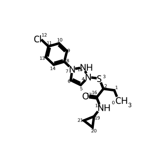 CCC(SN1C=CN(c2ccc(Cl)cc2)N1)C(=O)NC1CC1